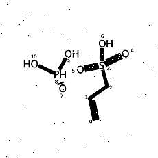 C=CCS(=O)(=O)O.O=[PH](O)O